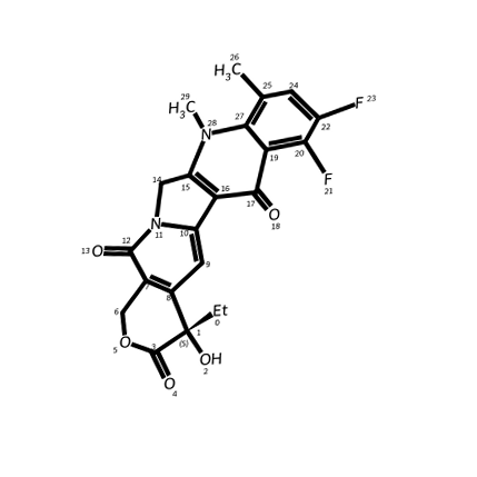 CC[C@@]1(O)C(=O)OCc2c1cc1n(c2=O)Cc2c-1c(=O)c1c(F)c(F)cc(C)c1n2C